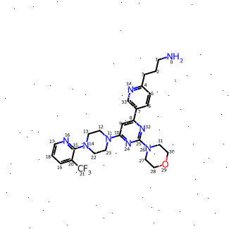 NCCCc1ccc(-c2cc(N3CCN(c4ncccc4C(F)(F)F)CC3)nc(N3CCOCC3)n2)cn1